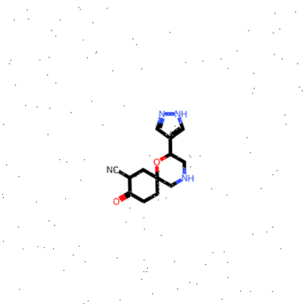 N#CC1CC2(CCC1=O)CNCC(c1cn[nH]c1)O2